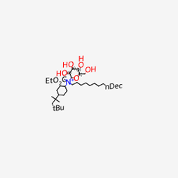 CCCCCCCCCCCCCCCCCC[N+](C(=O)OCC)(C1CCC(C(C)(C)CC(C)(C)C)CC1)C1O[C@H](CO)[C@@H](O)[C@H](O)[C@@H]1O